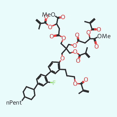 C=C(C)C(=O)OCCCc1cc(-c2ccc(C3CCC(CCCCC)CC3)cc2F)ccc1OCC(COC(=O)CC(OC(=O)C(=C)C)C(=O)OC)(COC(=O)CC(OC(=O)C(=C)C)C(=O)OC)COC(=O)C(=C)C